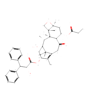 CCC(=O)O[C@H]1C[C@H]2OC[C@@]2(C)[C@H]2[C@H](C)[C@]3(O)C[C@H](OC(=O)[C@H](O)C(c4ccccc4)c4ccccc4)C(C)=C([C@@H](C)C(=O)[C@]12C)C3(C)C